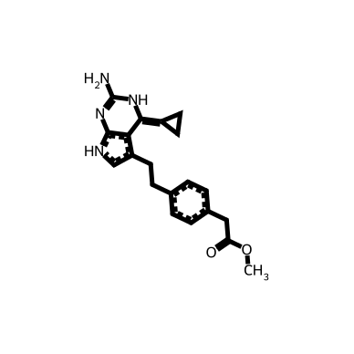 COC(=O)Cc1ccc(CCc2c[nH]c3c2C(=C2CC2)NC(N)=N3)cc1